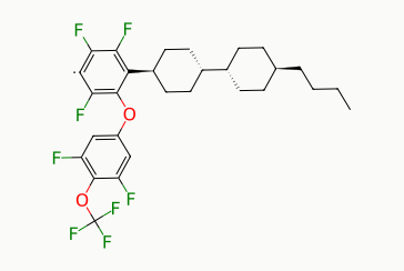 CCCC[C@H]1CC[C@H]([C@H]2CC[C@H](c3c(F)c(F)[c]c(F)c3Oc3cc(F)c(OC(F)(F)F)c(F)c3)CC2)CC1